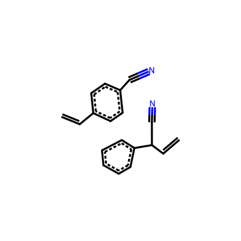 C=CC(C#N)c1ccccc1.C=Cc1ccc(C#N)cc1